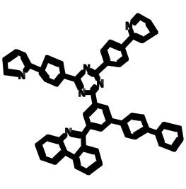 c1ccc(-c2ccc(-c3cc(-c4nc(-c5ccc(-c6ccccn6)cc5)nc(-c5ccc(-c6ccccn6)cc5)n4)cc(-c4nc5ccccc5c5ccccc45)c3)cc2)cc1